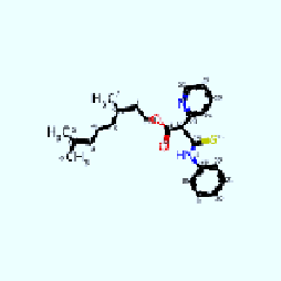 CC(C)=CCCC(C)=CCOC(=O)C(C(=S)Nc1ccccc1)c1ccccn1